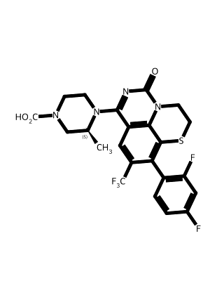 C[C@H]1CN(C(=O)O)CCN1c1nc(=O)n2c3c(c(-c4ccc(F)cc4F)c(C(F)(F)F)cc13)SCC2